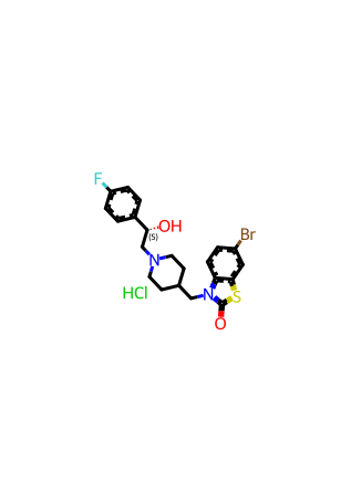 Cl.O=c1sc2cc(Br)ccc2n1CC1CCN(C[C@@H](O)c2ccc(F)cc2)CC1